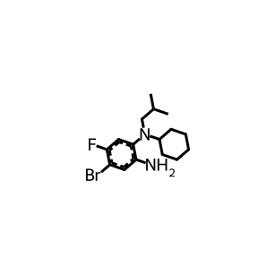 CC(C)CN(c1cc(F)c(Br)cc1N)C1CCCCC1